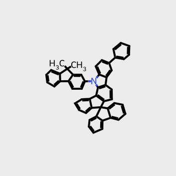 CC1(C)c2ccccc2-c2ccc(-n3c4ccc(-c5ccccc5)cc4c4ccc5c(c43)-c3ccccc3C53c4ccccc4-c4ccccc43)cc21